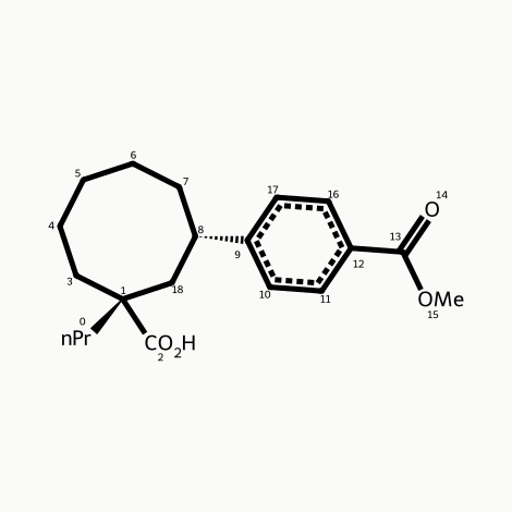 CCC[C@@]1(C(=O)O)CCCCC[C@H](c2ccc(C(=O)OC)cc2)C1